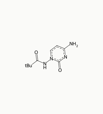 CC(C)(C)C(=O)Nn1ccc(N)nc1=O